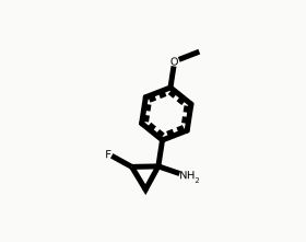 COc1ccc(C2(N)CC2F)cc1